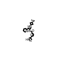 CN(C)[C@H]1C[C@@H](n2cc(NC(=O)c3ccc(-c4cn[nH]c4)o3)c(-c3ccccn3)n2)C1